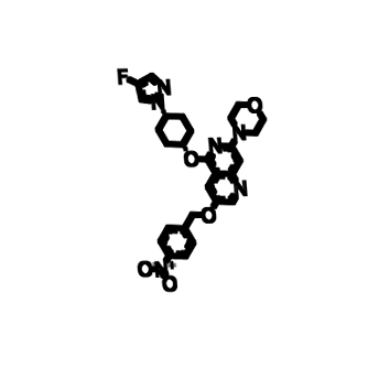 O=[N+]([O-])c1ccc(COc2cnc3cc(N4CCOCC4)nc(O[C@H]4CC[C@@H](n5cc(F)cn5)CC4)c3c2)cc1